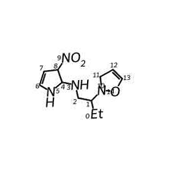 CCC(CNC1NC=CC1[N+](=O)[O-])N1CC=CO1